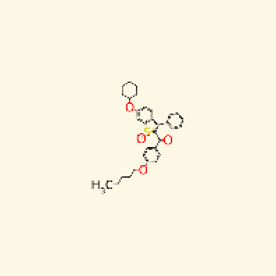 CCCCCOc1ccc(C(=O)c2c(-c3ccccc3)c3ccc(OC4CCCCC4)cc3[s+]2[O-])cc1